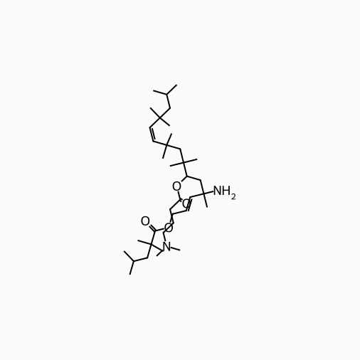 CC(C)CC(C)(C)/C=C\C(C)(C)CC(C)(C)C(CC(C)(N)/C=C/COC(=O)C(C)(C)CC(C)C)OC(=O)CCCN(C)C